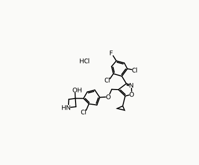 Cl.OC1(c2ccc(OCc3c(-c4c(Cl)cc(F)cc4Cl)noc3C3CC3)cc2Cl)CNC1